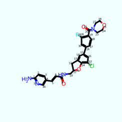 Nc1ccc(C=CC(=O)NCC2Cc3cc(-c4ccc(C(=O)N5CCOCC5)c(F)c4)cc(Cl)c3O2)cn1